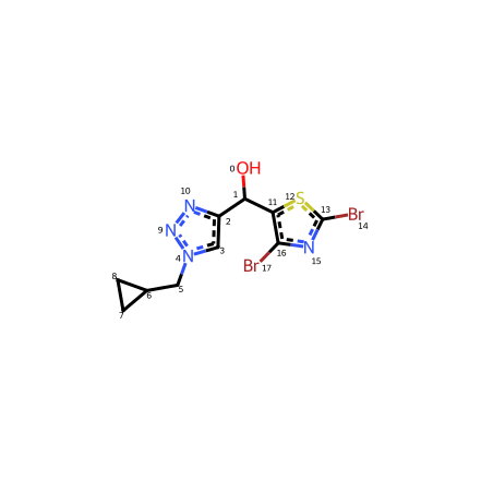 OC(c1cn(CC2CC2)nn1)c1sc(Br)nc1Br